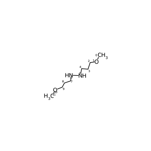 COCCCNNCCCOC